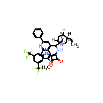 C=C[C@H]1CN2CC[C@H]1C[C@H]2C(Nc1c(Nc2cc(C(F)(F)F)cc(C(F)(F)F)c2)c(=O)c1=O)c1cc(-c2ccccc2)nc2ccc(OC)cc12